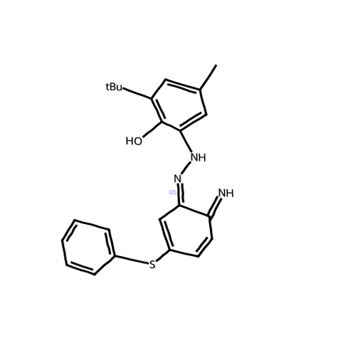 Cc1cc(N/N=C2/C=C(Sc3ccccc3)C=CC2=N)c(O)c(C(C)(C)C)c1